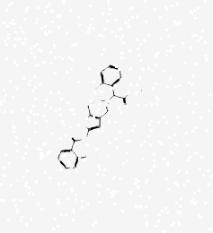 COC(=O)C(c1ccccc1Cl)N1CCc2sc(OC(=O)c3ccccc3OC(C)=O)cc2C1